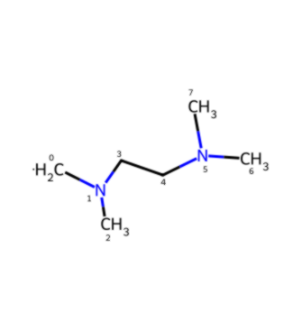 [CH2]N(C)CCN(C)C